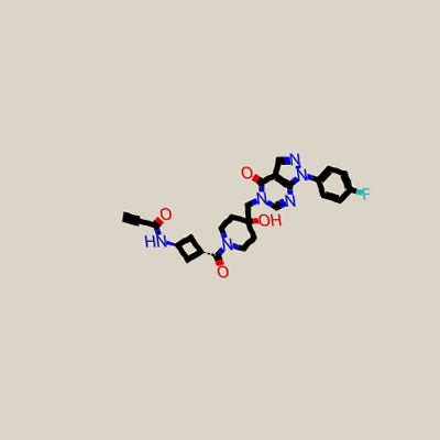 C#CC(=O)N[C@H]1C[C@H](C(=O)N2CCC(O)(Cn3cnc4c(cnn4-c4ccc(F)cc4)c3=O)CC2)C1